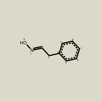 ON=CCc1ccccc1